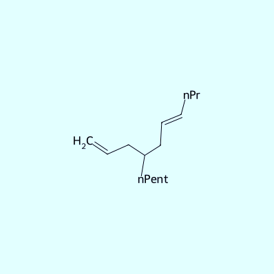 C=CCC(CC=CCCC)CCCCC